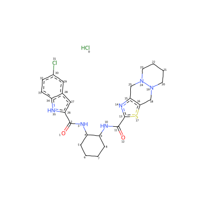 Cl.O=C(NC1CCCCC1NC(=O)c1nc2c(s1)CN1CCCCN1C2)c1cc2cc(Cl)ccc2[nH]1